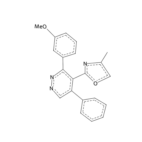 COc1cccc(-c2nncc(-c3ccccc3)c2-c2nc(C)co2)c1